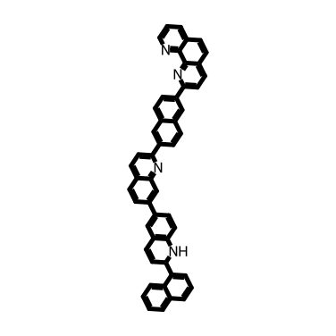 C1=CC(c2cccc3ccccc23)Nc2ccc(-c3ccc4ccc(-c5ccc6cc(-c7ccc8ccc9cccnc9c8n7)ccc6c5)nc4c3)cc21